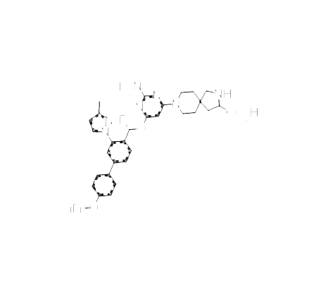 Cc1ccn(-c2cc(-c3ccc(OC(C)C)cc3)ccc2[C@@H](F)Oc2cc(N3CCC4(CC3)CNC(C(=O)O)C4)nc(N)n2)n1